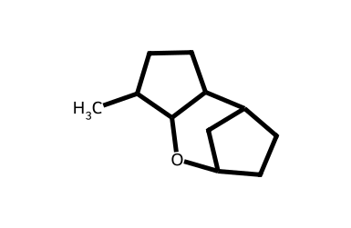 CC1CCC2C3CCC(C3)OC12